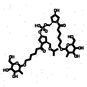 CC(C)OC[C@@H]1C[C@@H](OP(=O)(O)OC[C@@H]2C[C@@H](O)CN2C(=O)CCCCCOC2OC(CO)C(O)C(O)C2C)CN1C(=O)CCCCCOC1OC(CO)C(O)C(O)C1C